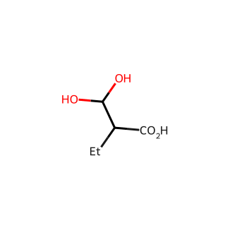 [CH2]CC(C(=O)O)C(O)O